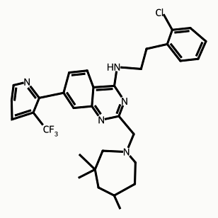 CC1CCN(Cc2nc(NCCc3ccccc3Cl)c3ccc(-c4ncccc4C(F)(F)F)cc3n2)CC(C)(C)C1